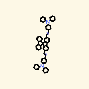 c1ccc2c(c#1)-c1ccccc1C21c2cc(/C=C/c3ccc(N(c4ccccc4)c4ccccc4)cc3)ccc2-c2ccc(/C=C/c3ccc(N(c4ccccc4)c4ccccc4)cc3)cc21